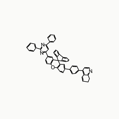 C1=Cc2c(-c3ccc(-c4ccc5c(c4)C4(c6cc(-c7cc(-c8ccccc8)nc(-c8ccccc8)n7)ccc6O5)c5ccccc5-c5ccccc54)cc3)ccnc2CC1